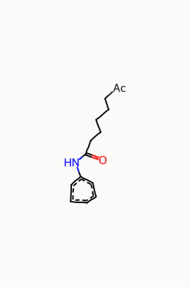 CC(=O)CCCCCC(=O)Nc1ccccc1